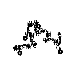 CC(=O)O[C@@H](COCc1cn(C[C@H](COCc2cn(C[C@H](COCc3cn(C[C@H](COCc4cn(C[C@H](COCc5cn(C[C@H](COCC#C[Si](C)(C)C(C)(C)C)OCc6ccccc6)nn5)OC(C)=O)nn4)OCc4ccccc4)nn3)OC(C)=O)nn2)OCc2ccccc2)nn1)Cn1cc(COC[C@@H](Cn2cc(C)nn2)OCc2ccccc2)nn1